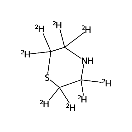 [2H]C1([2H])NC([2H])([2H])C([2H])([2H])SC1([2H])[2H]